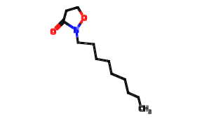 CCCCCCCCCN1OCCC1=O